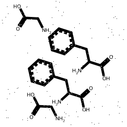 NC(Cc1ccccc1)C(=O)O.NC(Cc1ccccc1)C(=O)O.NCC(=O)O.NCC(=O)O